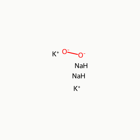 [K+].[K+].[NaH].[NaH].[O-][O-]